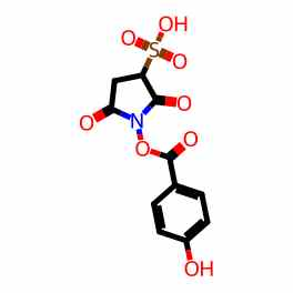 O=C(ON1C(=O)CC(S(=O)(=O)O)C1=O)c1ccc(O)cc1